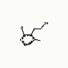 OCCc1c(F)ccnc1Cl